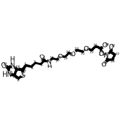 O=C(CCCCC1SCC2NC(=O)NC21)NCCOCCOCCOCCC(=O)ON1C(=O)CCC1=O